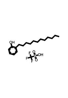 CCCCCCCCCCCCc1ccccc1O.O=S(=O)(O)C(F)(F)F